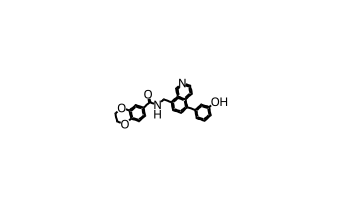 O=C(NCc1ccc(-c2cccc(O)c2)c2ccncc12)c1ccc2c(c1)OCCO2